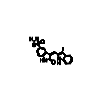 Cc1c(C=C2C(=O)Nc3ccc(S(N)(=O)=O)cc32)[nH]c2ccccc12